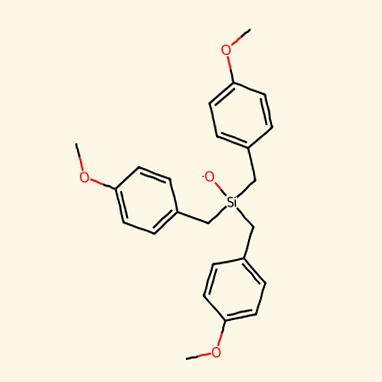 COc1ccc(C[Si]([O])(Cc2ccc(OC)cc2)Cc2ccc(OC)cc2)cc1